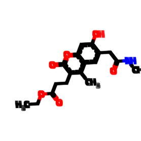 CCOC(=O)CCc1c(C)c2cc(CC(=O)NC)c(O)cc2oc1=O